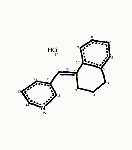 C(=C1/CCCc2ccccc21)/c1cccnc1.Cl